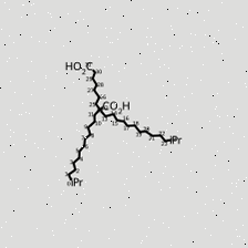 CC(C)CCCCCCCCCCCC(CCCCCCCCCCCC(C)C)(CCCCCCC(=O)O)C(=O)O